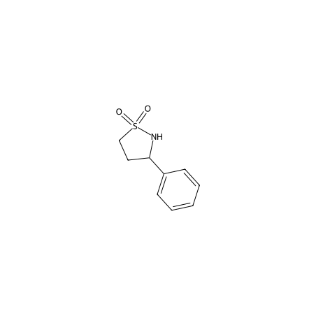 O=S1(=O)CCC(c2ccccc2)N1